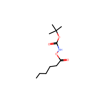 CCCCCC(=O)ONC(=O)OC(C)(C)C